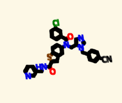 N#Cc1ccc(Cn2cncc2CN(C(=O)c2cccc(Cl)c2)c2ccc3sc(C(=O)NCc4cccnc4)cc3c2)cc1